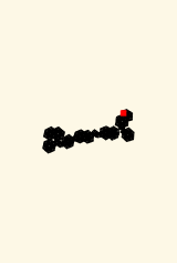 C(=C(\c1ccccc1)c1cccc2ccccc12)/c1ccc(-c2ccc3cc(/C=C/c4ccc5cc(N(c6ccccc6)c6ccc7ccccc7c6)ccc5c4)ccc3c2)cc1